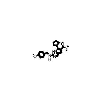 COc1ccc(CNc2ncc3cc(C(=O)N(C)C)c(C4CCCC4)n3n2)cc1